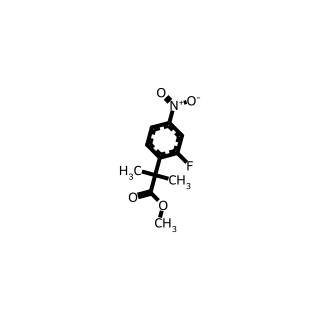 COC(=O)C(C)(C)c1ccc([N+](=O)[O-])cc1F